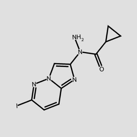 NN(C(=O)C1CC1)c1cn2nc(I)ccc2n1